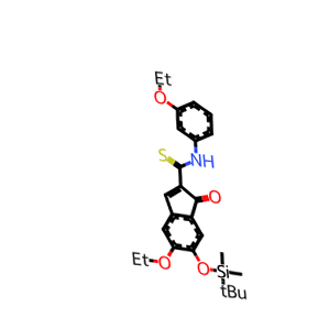 CCOc1cccc(NC(=S)C2=Cc3cc(OCC)c(O[Si](C)(C)C(C)(C)C)cc3C2=O)c1